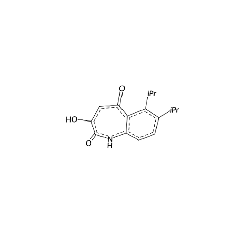 CC(C)c1ccc2[nH]c(=O)c(O)cc(=O)c2c1C(C)C